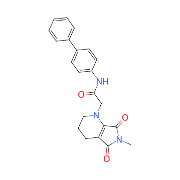 CN1C(=O)C2=C(C1=O)N(CC(=O)Nc1ccc(-c3ccccc3)cc1)CCC2